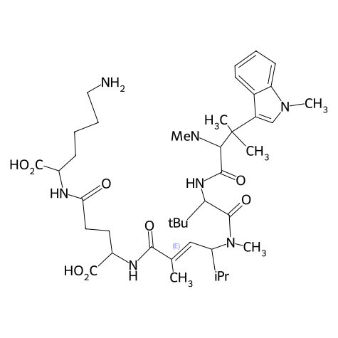 CNC(C(=O)NC(C(=O)N(C)C(/C=C(\C)C(=O)NC(CCC(=O)NC(CCCCN)C(=O)O)C(=O)O)C(C)C)C(C)(C)C)C(C)(C)c1cn(C)c2ccccc12